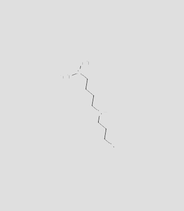 CCCN(CCC)CCCCNCCCN